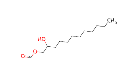 CCCCCCCCCCC(O)COC=O